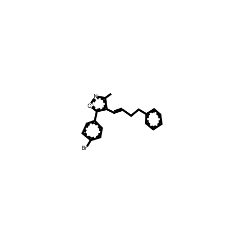 Cc1noc(-c2ccc(Br)cc2)c1C=CCCc1ccccc1